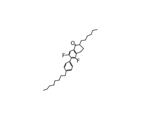 CCCCCCCCc1ccc(-c2c(F)cc3c(c2F)CCC(CCCCCC)C3=O)cc1